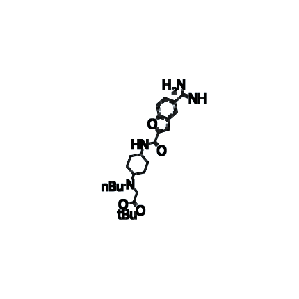 CCCCN(CC(=O)OC(C)(C)C)C1CCC(NC(=O)c2cc3cc(C(=N)N)ccc3o2)CC1